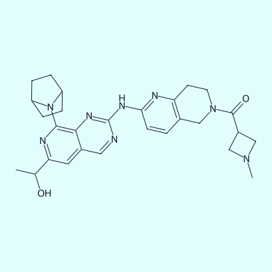 CC(O)c1cc2cnc(Nc3ccc4c(n3)CCN(C(=O)C3CN(C)C3)C4)nc2c(N2C3CCC2CC3)n1